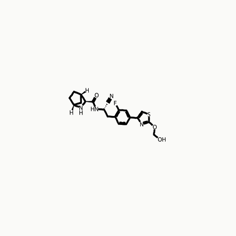 N#C[C@H](Cc1ccc(-c2csc(OCO)n2)cc1F)NC(=O)[C@H]1N[C@@H]2CC[C@H]1C2